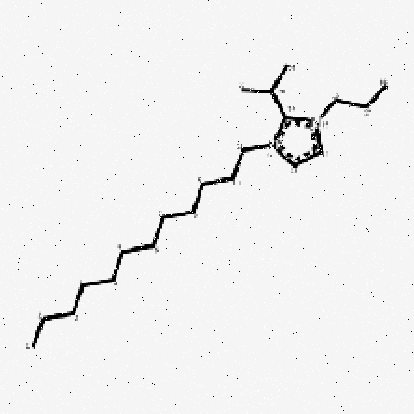 CCCCCCCCCCCC[n+]1ccn(CCC)c1C(C)C